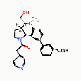 COc1cccc(-c2ccc3c(c2)C2[C@H](CCN2C(=O)Cc2ccncc2)[C@H](CO)N3C)c1